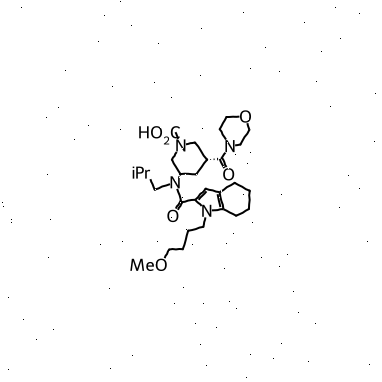 COCCCCn1c(C(=O)N(CC(C)C)[C@H]2C[C@@H](C(=O)N3CCOCC3)CN(C(=O)O)C2)cc2c1CCCC2